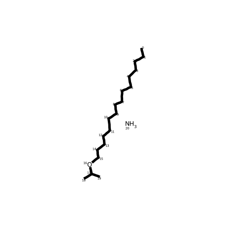 CCCCCCCCCCCCCCCCOC(C)C.N